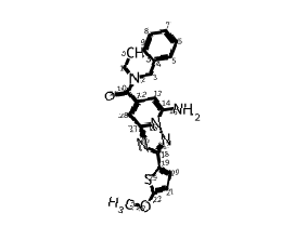 CCN(Cc1ccccc1)C(=O)c1cc(N)n2nc(-c3ccc(OC)s3)nc2c1